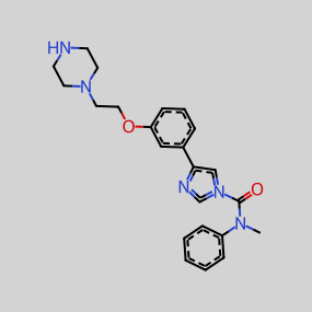 CN(C(=O)n1cnc(-c2cccc(OCCN3CCNCC3)c2)c1)c1ccccc1